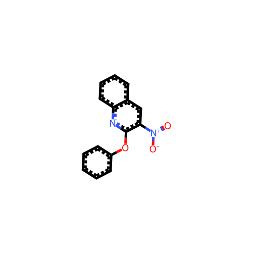 O=[N+]([O-])c1cc2ccccc2nc1Oc1ccccc1